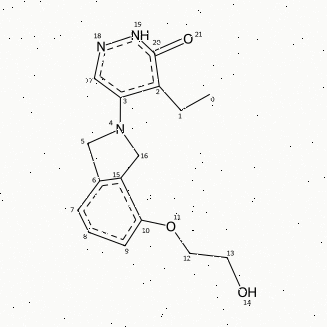 CCc1c(N2Cc3cccc(OCCO)c3C2)cn[nH]c1=O